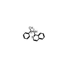 C[C@@H](Nc1nccc2ccccc12)c1ccccc1